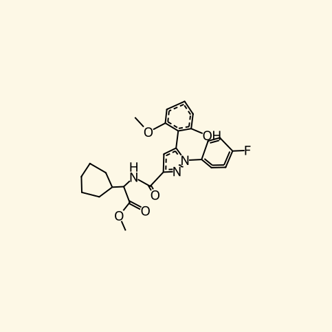 COC(=O)C(NC(=O)c1cc(-c2c(O)cccc2OC)n(C2=C=C=C(F)C=C2)n1)C1CCCCC1